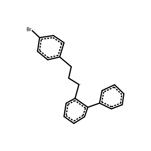 Brc1ccc(CC[CH]c2ccccc2-c2ccccc2)cc1